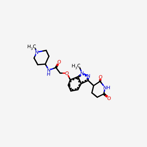 CN1CCC(NC(=O)COc2cccc3c(C4CCC(=O)NC4=O)nn(C)c23)CC1